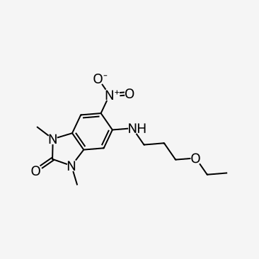 CCOCCCNc1cc2c(cc1[N+](=O)[O-])n(C)c(=O)n2C